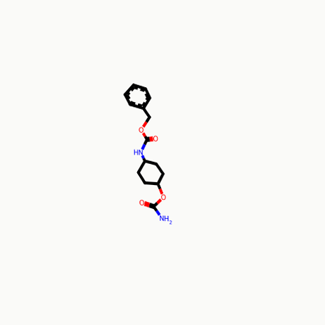 NC(=O)OC1CCC(NC(=O)OCc2ccccc2)CC1